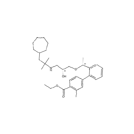 CCOC(=O)c1ccc(-c2ccccc2[C@@H](C)OC[C@H](O)CNC(C)(C)CC2CCCCCC2)cc1C